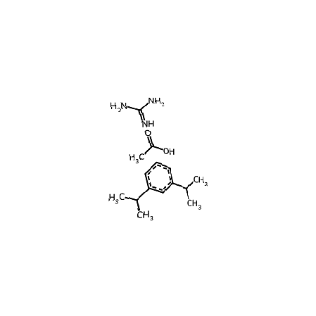 CC(=O)O.CC(C)c1cccc(C(C)C)c1.N=C(N)N